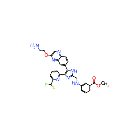 COC(=O)c1cccc(NCc2nc(-c3cccc(C(F)F)n3)c(-c3ccc4ncc(OCCN)nc4c3)[nH]2)c1